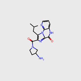 CC(C)Cc1c(C(=O)N2CCC(N)C2)nc2c(=O)[nH]c3cccnc3n12